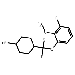 CCCC1CCC(C(F)(F)Oc2cccc(F)c2OC(F)(F)F)CC1